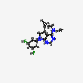 CCCN(c1ncnc2c1c(C1CC1)cn2-c1cc(F)cc(F)c1)C(C)C